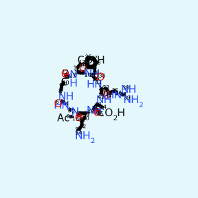 CC(=O)CN1CNC(=O)NCCCC(=O)N[C@@H](CCC(=O)O)C(=O)NC(Cc2ccccc2)C(=O)N[C@@H](CCCNC(=N)N)C(=O)NC(CC(=O)O)C(=O)N[C@@H](CCCCN)C1=O